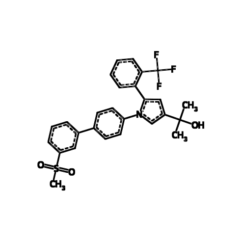 CC(C)(O)c1cc(-c2ccccc2C(F)(F)F)n(-c2ccc(-c3cccc(S(C)(=O)=O)c3)cc2)c1